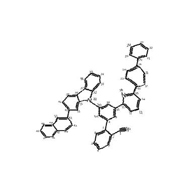 N#Cc1ccccc1-c1cc(-c2cccc(-c3ccc(-c4ccccc4)cc3)n2)cc(-n2c3ccccc3c3ccc(-c4ccc5ccccc5c4)cc32)c1